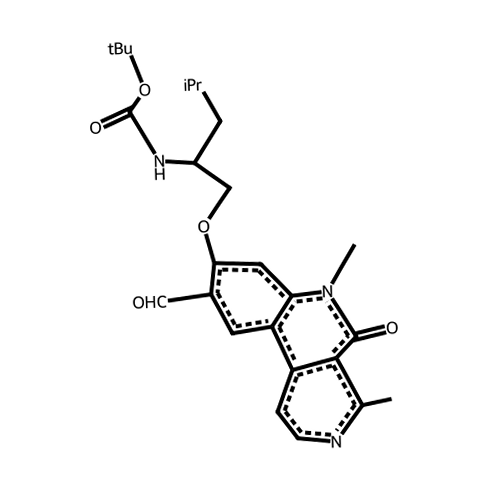 Cc1nccc2c1c(=O)n(C)c1cc(OCC(CC(C)C)NC(=O)OC(C)(C)C)c(C=O)cc21